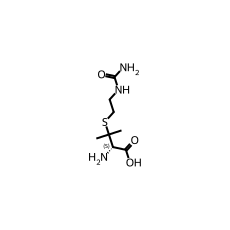 CC(C)(SCCNC(N)=O)[C@@H](N)C(=O)O